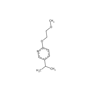 COCCOc1ccc(C(C)C)cn1